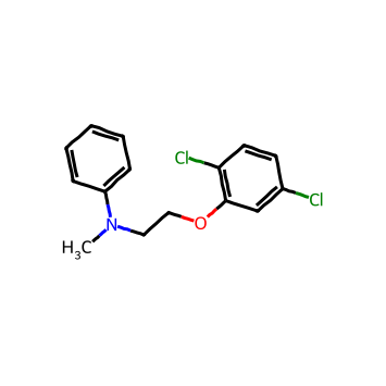 CN(CCOc1cc(Cl)ccc1Cl)c1ccccc1